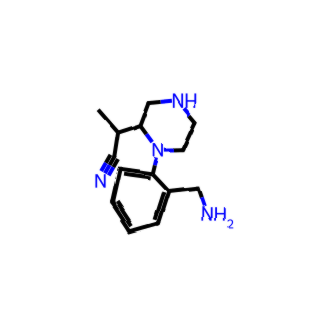 CC(C#N)C1CNCCN1c1ccccc1CN